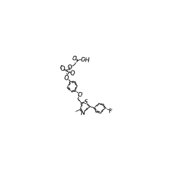 Cc1nc(-c2ccc(F)cc2)sc1COc1ccc(OS(=O)(=O)OCC(=O)O)cc1